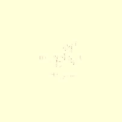 CNC(=O)N1CCC(N(CC(C)C)c2ccc(C(C)CC(=O)O)cc2Nc2nc(C(F)(F)F)ns2)CC1